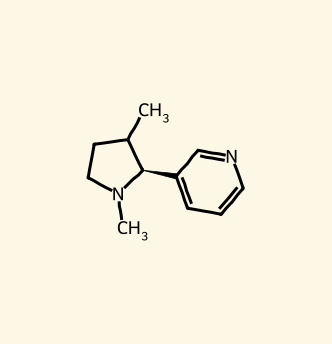 CC1CCN(C)[C@@H]1c1cccnc1